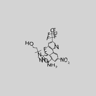 CC(C)(CCO)n1cnnc1Sc1c(C(N)=O)cc([N+](=O)[O-])cc1-c1ncc(C(F)(F)C(F)(F)C(F)(F)F)cc1F